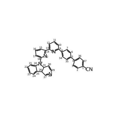 N#Cc1ccc(-c2ccc(-c3cccc(-c4cccc(N5c6ccccc6C6C=NC=CC65)n4)n3)cc2)cc1